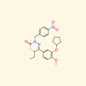 CCC1SC(=O)N(Cc2ccc([N+](=O)[O-])cc2)N=C1c1ccc(OC)c(OC2CCCC2)c1